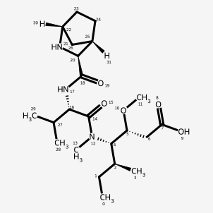 CC[C@H](C)[C@@H]([C@@H](CC(=O)O)OC)N(C)C(=O)[C@@H](NC(=O)[C@H]1N[C@@H]2CC[C@H]1C2)C(C)C